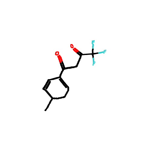 CC1C=CC(C(=O)CC(=O)C(F)(F)F)=CC1